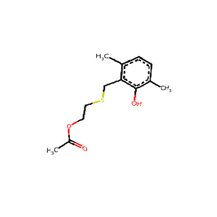 CC(=O)OCCSCc1c(C)ccc(C)c1O